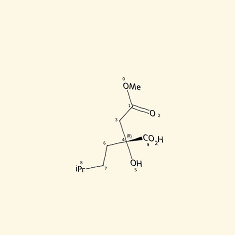 COC(=O)C[C@](O)(CCC(C)C)C(=O)O